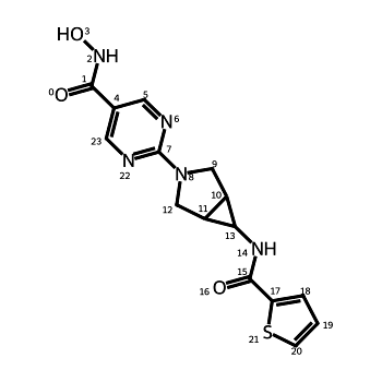 O=C(NO)c1cnc(N2CC3C(C2)C3NC(=O)c2cccs2)nc1